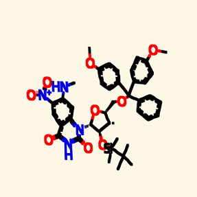 CNc1cc2c(cc1[N+](=O)[O-])c(=O)[nH]c(=O)n2[C@@H]1O[C@@H](COC(c2ccccc2)(c2ccc(OC)cc2)c2ccc(OC)cc2)[CH][C@H]1O[Si](C)(C)C(C)(C)C